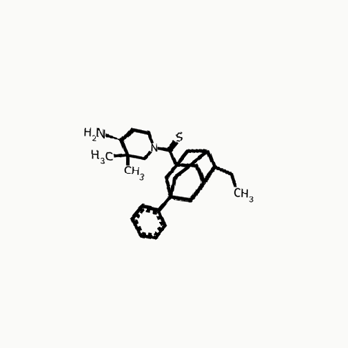 CCC1C2CC3(C(=S)N4CC[C@H](N)C(C)(C)C4)CC1CC(c1ccccc1)(C2)C3